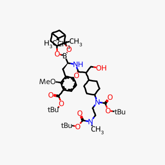 COc1c(C[C@H](NC(=O)C(CO)C2CCC(N(CCN(C)C(=O)OC(C)(C)C)C(=O)OC(C)(C)C)CC2)B2OC3CC4CC(C4(C)C)C3(C)O2)cccc1C(=O)OC(C)(C)C